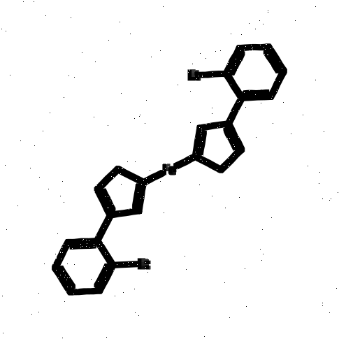 CCc1ccccc1C1=CC[C]([Fe][C]2=CC(c3ccccc3CC)=CC2)=C1